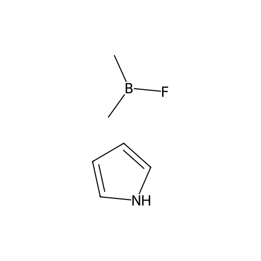 CB(C)F.c1cc[nH]c1